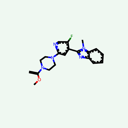 C=C(OC)N1CCN(c2cc(-c3nc4ccccc4n3C)c(F)cn2)CC1